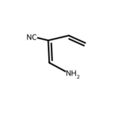 C=C/C(C#N)=C\N